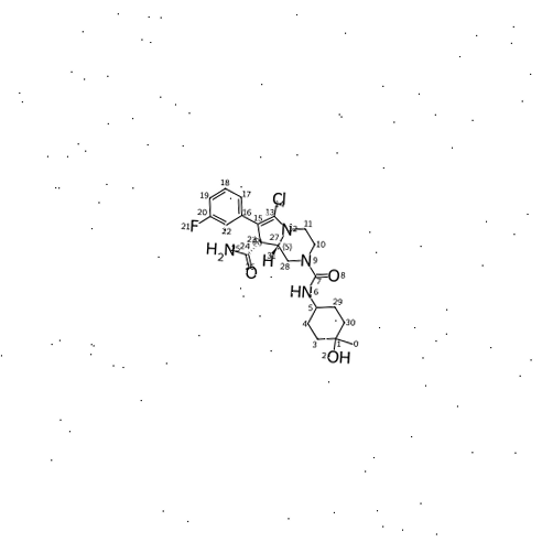 CC1(O)CCC(NC(=O)N2CCN3C(Cl)=C(c4cccc(F)c4)[C@@H](C(N)=O)[C@H]3C2)CC1